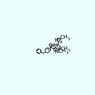 Cc1cnc(C2CC(C)(C)n3ncc(C(=O)N4CCC(Cc5ccccc5)CC4)c3N2)s1